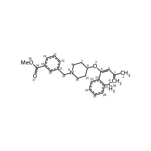 C=C(C)/C=C(/OC1CCN(Cc2cccc(C(=O)OC)c2)CC1)c1ccccc1C